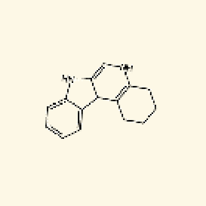 C1=C2Nc3ccccc3C2C2=C(CCCC2)N1